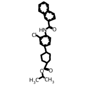 CC(C)OC(=O)C1CCC(c2ccc(NC(=O)c3ccc4ccccc4c3)c(Cl)c2)CC1